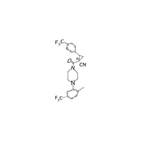 Cc1ccc(C(F)(F)F)cc1N1CCN(C(=O)[C@]2(C#N)CC2c2ccc(C(F)(F)F)cc2)CC1